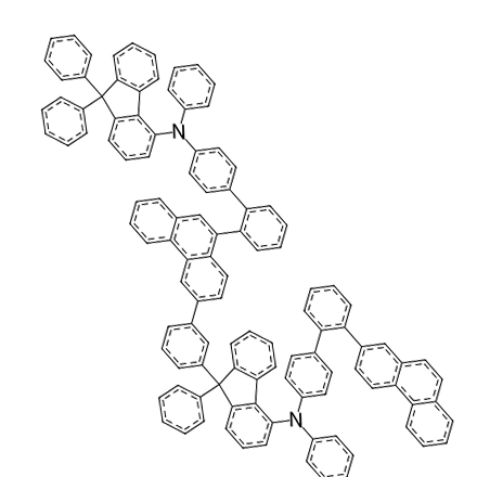 c1ccc(N(c2ccc(-c3ccccc3-c3cc4ccccc4c4cc(-c5cccc(C6(c7ccccc7)c7ccccc7-c7c(N(c8ccccc8)c8ccc(-c9ccccc9-c9ccc%10c(ccc%11ccccc%11%10)c9)cc8)cccc76)c5)ccc34)cc2)c2cccc3c2-c2ccccc2C3(c2ccccc2)c2ccccc2)cc1